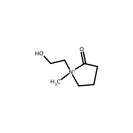 C[N+]1(CCO)CCCC1=O